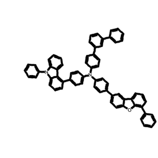 c1ccc(-c2cccc(-c3ccc(N(c4ccc(-c5ccc6oc7c(-c8ccccc8)cccc7c6c5)cc4)c4ccc(-c5cccc6c5c5ccccc5n6-c5ccccc5)cc4)cc3)c2)cc1